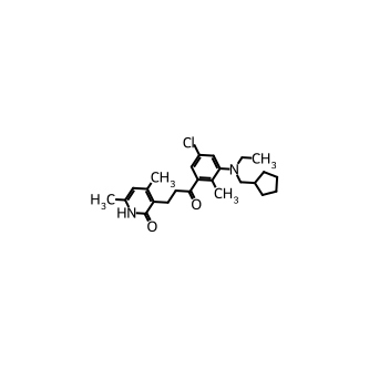 CCN(CC1CCCC1)c1cc(Cl)cc(C(=O)CCc2c(C)cc(C)[nH]c2=O)c1C